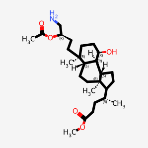 COC(=O)CC[C@@H](C)C1CC[C@H]2[C@@H]3[C@H](O)CC[C@](C)(CC[C@H](CN)OC(C)=O)[C@H]3CC[C@]12C